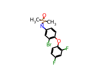 CS(C)(=O)=Nc1ccc(Oc2ccc(F)cc2F)c(Br)c1